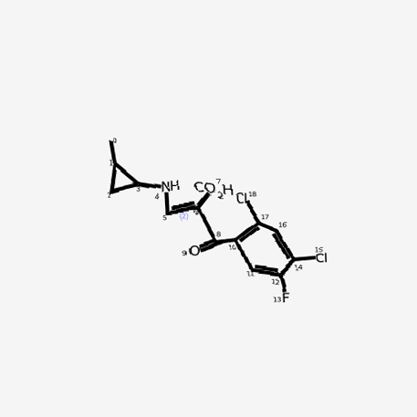 CC1CC1N/C=C(\C(=O)O)C(=O)c1cc(F)c(Cl)cc1Cl